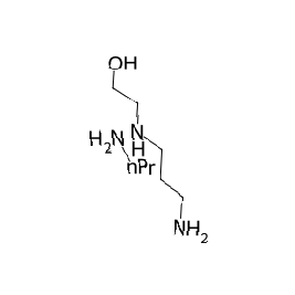 CCCN.NCCCNCCO